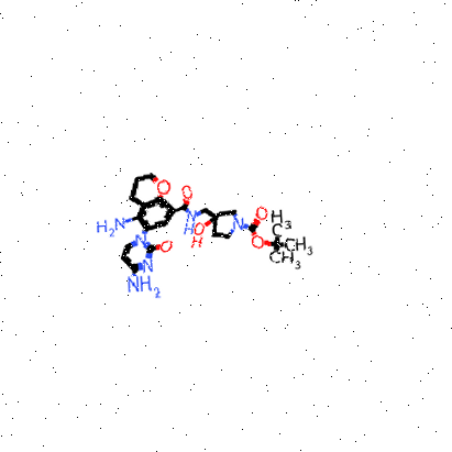 CC(C)(C)OC(=O)N1CCC(O)(CNC(=O)c2cc(-n3ccc(N)nc3=O)c(N)c3c2OCCC3)CC1